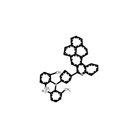 Cc1cccc(C)c1B(c1ccc(-c2nc3ccccc3c3c2cc2ccc4cccc5ccc3c2c45)cc1)c1c(C)cccc1C